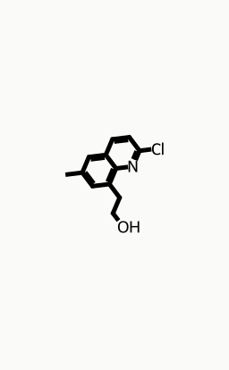 Cc1cc(CCO)c2nc(Cl)ccc2c1